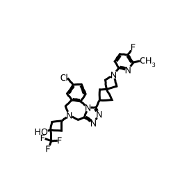 Cc1nc(N2CC3(CC(c4nnc5n4-c4ccc(Cl)cc4CN(C4CC(O)(C(F)(F)F)C4)C5)C3)C2)ccc1F